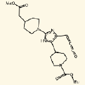 COC(=O)CC1CCN(c2nc(C=C=C=O)c(C3CCN(C(=O)OC(C)(C)C)CC3)[nH]2)CC1